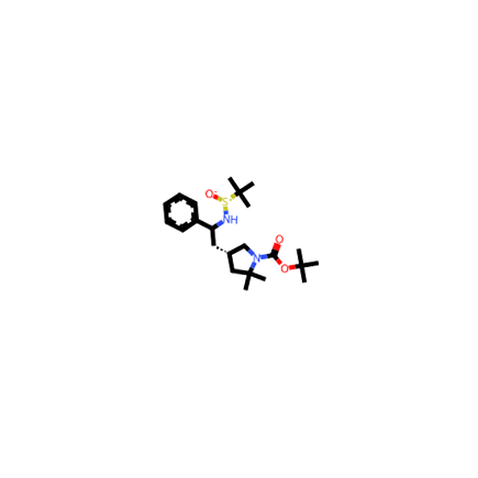 CC(C)(C)OC(=O)N1C[C@@H](CC(N[S+]([O-])C(C)(C)C)c2ccccc2)CC1(C)C